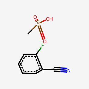 CS(=O)(=O)O.N#Cc1ccccc1F